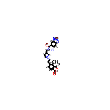 Cc1c(CCN2CCC(CNC(=O)c3ccc4nonc4c3)C2)ccc2c1COC2=O